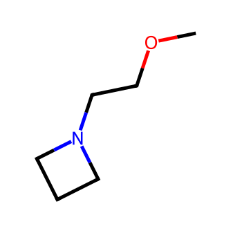 COCCN1CCC1